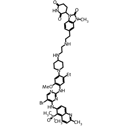 CCc1cc(Nc2ncc(Br)c(Nc3ccc4nc(C)ccc4c3P(C)(C)=O)n2)c(OC)cc1N1CCC(NCCNCCc2ccc3c(c2)n(C)c(=O)n3C2CCC(=O)NC2=O)CC1